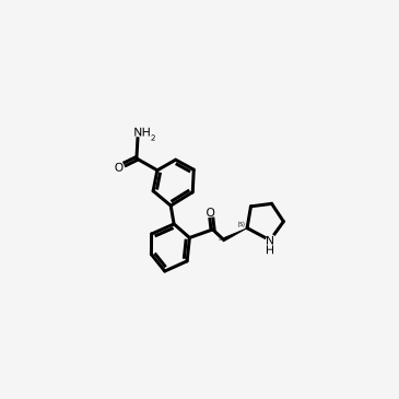 NC(=O)c1cccc(-c2ccccc2C(=O)[CH][C@H]2CCCN2)c1